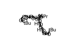 CC(C)Sc1nnc(-c2cc(OCCNC(=O)CC(C)(C)OCC(C)(C)CNC(=O)CC(C)(C)COCC(C)(C)CNC(=O)C(C)(C)CCC(C)(C)C)cc(OCCNC(=O)CC(C)(C)OCC(C)(C)CNC(=O)CC(C)(C)COCC(C)(C)CNC(=O)C(C)(C)CCC(C)(C)C)c2)o1